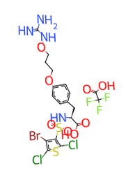 N=C(N)NOCCCOc1ccc(C[C@H](NS(=O)(=O)c2c(Cl)sc(Cl)c2Br)C(=O)O)cc1.O=C(O)C(F)(F)F